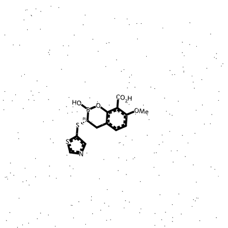 COc1ccc2c(c1C(=O)O)OB(O)[C@@H](Sc1cncs1)C2